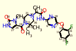 C[C@@H](C(=O)Nc1cnc(Oc2ccc(F)cc2F)cn1)N1CCN(C(=O)c2c[nH]c(=O)n2C)C(C)(C)C1